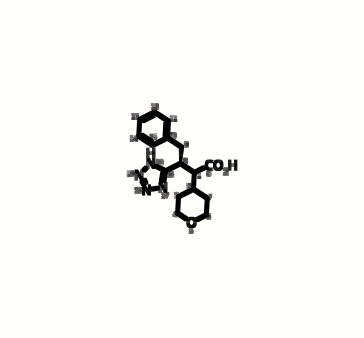 O=C(O)C(C1CCOCC1)[C@H](Cc1ccccc1)c1nnn[nH]1